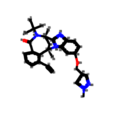 [2H]C([2H])([2H])N1C(=O)c2cccc(C#C)c2[C@H]2C[C@@H]1c1nc3ccc(OCc4cnn(C)c4)cc3n12